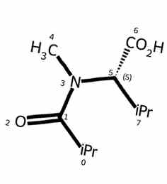 CC(C)C(=O)N(C)[C@H](C(=O)O)C(C)C